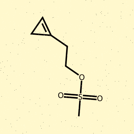 CS(=O)(=O)OCCC1=CC1